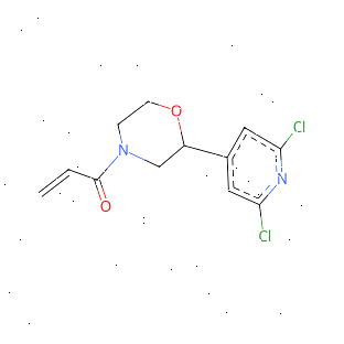 C=CC(=O)N1CCOC(c2cc(Cl)nc(Cl)c2)C1